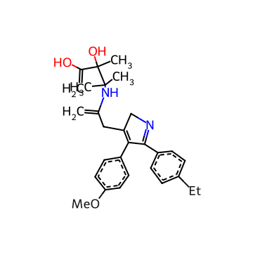 C=C(CC1=C(c2ccc(OC)cc2)C(c2ccc(CC)cc2)=NC1)NC(C)(C)C(C)(O)C(=C)O